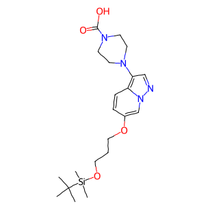 CC(C)(C)[Si](C)(C)OCCCOc1ccc2c(N3CCN(C(=O)O)CC3)cnn2c1